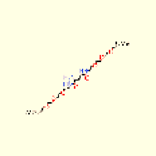 COCCOCCOCCOCCNC(=O)CC[C@H](N)C(=O)NCCOCCOCCOCCOC